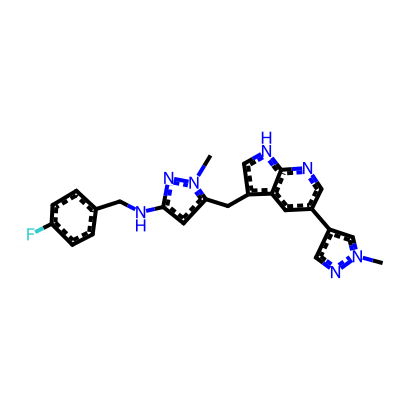 Cn1cc(-c2cnc3[nH]cc(Cc4cc(NCc5ccc(F)cc5)nn4C)c3c2)cn1